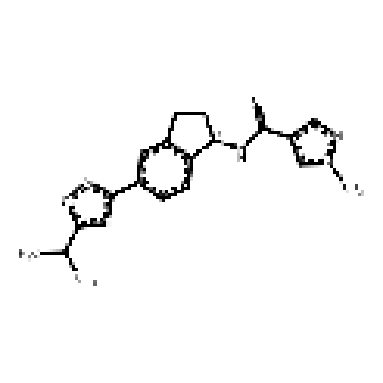 CC(C)c1nc(-c2ccc3c(c2)CC[C@H]3NC(=O)c2cnn(C)c2)no1